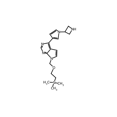 C[Si](C)(C)CCOCn1ccc2c(-c3ccn(C4CNC4)c3)ncnc21